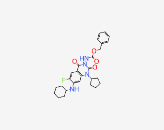 O=C(Nn1c(=O)c2cc(F)c(NC3CCCCC3)cc2n(C2CCCC2)c1=O)OCc1ccccc1